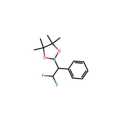 CC1(C)OB(C(c2ccccc2)C(F)F)OC1(C)C